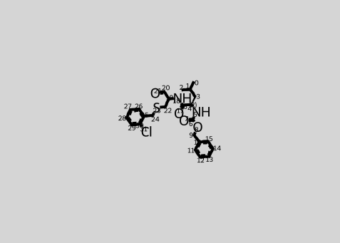 CC(C)C[C@@H](NC(=O)OCc1ccccc1)C(=O)NC(C=O)CSCc1ccccc1Cl